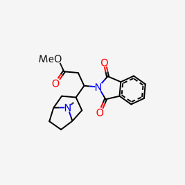 COC(=O)CC(C1CC2CCC(C1)N2C)N1C(=O)c2ccccc2C1=O